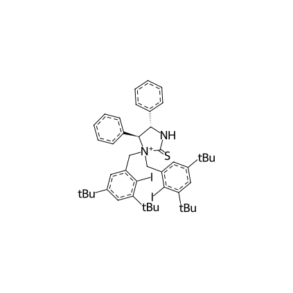 CC(C)(C)c1cc(C[N+]2(Cc3cc(C(C)(C)C)cc(C(C)(C)C)c3I)C(=S)N[C@@H](c3ccccc3)[C@@H]2c2ccccc2)c(I)c(C(C)(C)C)c1